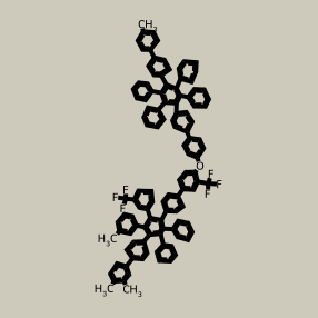 Cc1ccc(-c2ccc(-c3c(-c4ccccc4)c(-c4ccccc4)c(-c4ccc(-c5ccc(Oc6ccc(-c7ccc(-c8c(-c9ccccc9)c(-c9ccccc9)c(-c9ccc(-c%10ccc(C)c(C)c%10)cc9)c(-c9cccc(C)c9)c8-c8cccc(C(F)(F)F)c8)cc7)cc6C(F)(F)F)cc5)cc4)c(-c4ccccc4)c3-c3ccccc3)cc2)cc1